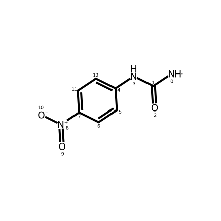 [NH]C(=O)Nc1ccc([N+](=O)[O-])cc1